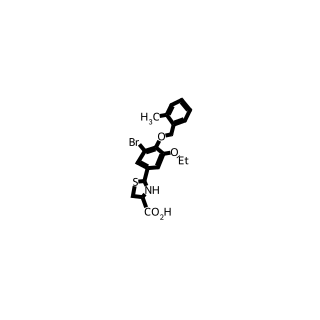 CCOc1cc(C2NC(C(=O)O)CS2)cc(Br)c1OCc1ccccc1C